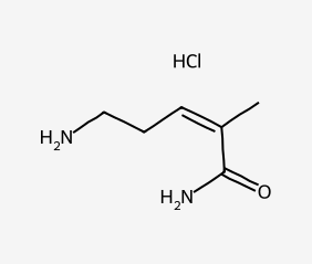 CC(=CCCN)C(N)=O.Cl